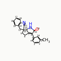 Cc1cccc(C2=C3CCC(C#N)(Cc4ccccc4)C3NC2=O)c1